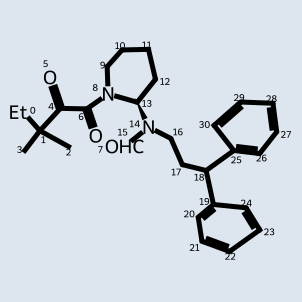 CCC(C)(C)C(=O)C(=O)N1CCCC[C@H]1N(C=O)CCC(c1ccccc1)c1ccccc1